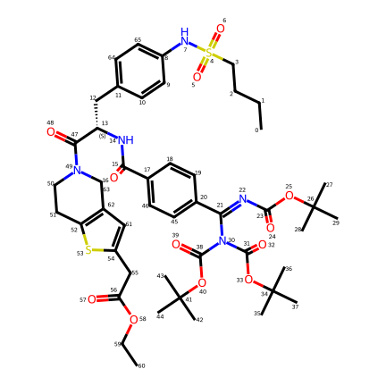 CCCCS(=O)(=O)Nc1ccc(C[C@H](NC(=O)c2ccc(C(=NC(=O)OC(C)(C)C)N(C(=O)OC(C)(C)C)C(=O)OC(C)(C)C)cc2)C(=O)N2CCc3sc(CC(=O)OCC)cc3C2)cc1